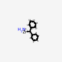 [NH2][Zr][CH](c1ccccc1)c1ccccc1